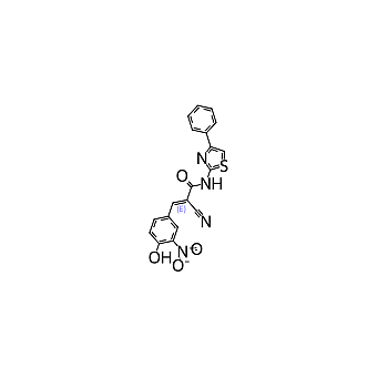 N#C/C(=C\c1ccc(O)c([N+](=O)[O-])c1)C(=O)Nc1nc(-c2ccccc2)cs1